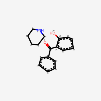 C1CCNCC1.O=C(c1ccccc1)c1ccccc1O